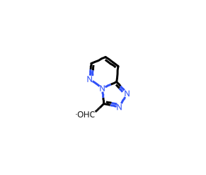 O=[C]c1nnc2cccnn12